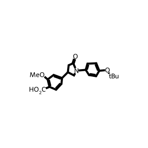 COc1cc(C2CC(=O)N(c3ccc(OC(C)(C)C)cc3)C2)ccc1C(=O)O